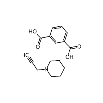 C#CCN1CCCCC1.O=C(O)c1cccc(C(=O)O)c1